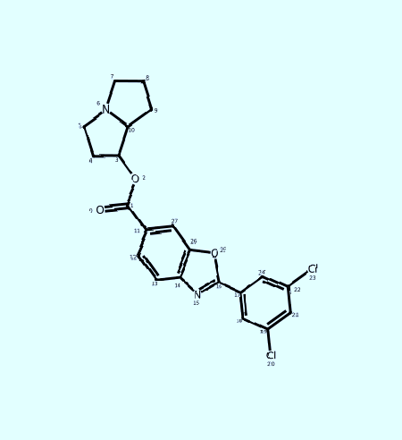 O=C(OC1CCN2CCCC12)c1ccc2nc(-c3cc(Cl)cc(Cl)c3)oc2c1